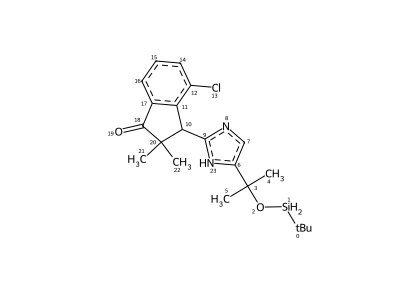 CC(C)(C)[SiH2]OC(C)(C)c1cnc(C2c3c(Cl)cccc3C(=O)C2(C)C)[nH]1